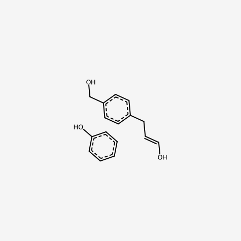 OC=CCc1ccc(CO)cc1.Oc1ccccc1